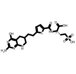 Nc1nc(O)c2c(n1)NCC(CCc1ccc(C(=O)N[C@@H](CCS(=O)(=O)O)C(=O)O)s1)C2